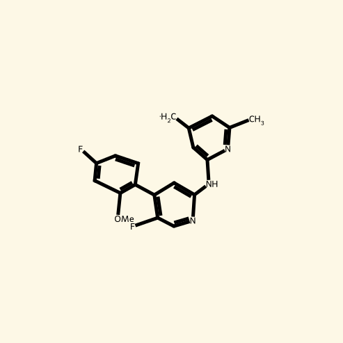 [CH2]c1cc(C)nc(Nc2cc(-c3ccc(F)cc3OC)c(F)cn2)c1